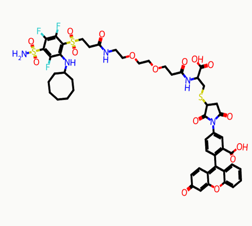 NS(=O)(=O)c1c(F)c(F)c(S(=O)(=O)CCC(=O)NCCOCCOCCC(=O)NC(CSC2CC(=O)N(c3ccc(-c4c5ccc(=O)cc-5oc5ccccc45)c(C(=O)O)c3)C2=O)C(=O)O)c(NC2CCCCCCC2)c1F